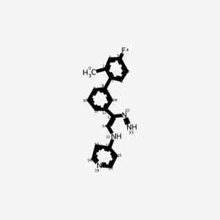 Cc1cc(F)ccc1-c1cccc(/C(=C/Nc2ccncc2)N=N)c1